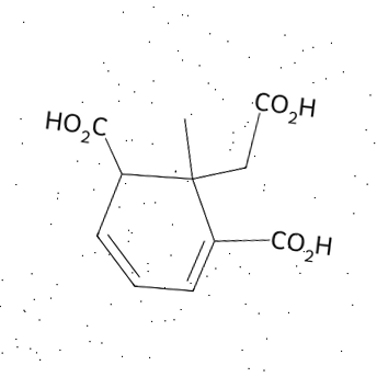 CC1(CC(=O)O)C(C(=O)O)=CC=CC1C(=O)O